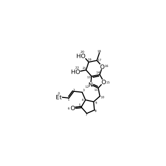 CC/C=C/CC1C(=O)CCC1Cc1nc2c(o1)OC(C)C(O)C2O